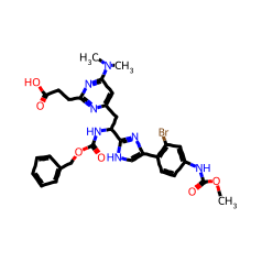 COC(=O)Nc1ccc(-c2c[nH]c(C(Cc3cc(N(C)C)nc(CCC(=O)O)n3)NC(=O)OCc3ccccc3)n2)c(Br)c1